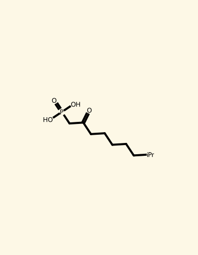 CC(C)CCCCCC(=O)CP(=O)(O)O